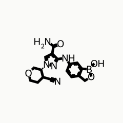 N#CC1CCOC[C@@H]1n1cc(C(N)=O)c(Nc2ccc3c(c2)B(O)OC3)n1